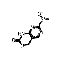 C[S+]([O-])c1ncc2c(n1)NC(=O)OC2